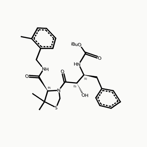 Cc1ccccc1CNC(=O)[C@H]1N(C(=O)[C@@H](O)[C@H](Cc2ccccc2)NC(=O)OCC(C)C)CSC1(C)C